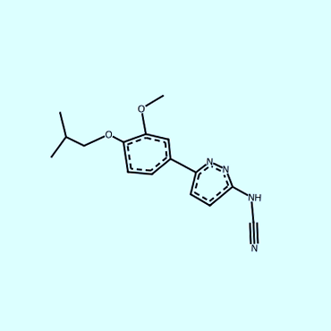 COc1cc(-c2ccc(NC#N)nn2)ccc1OCC(C)C